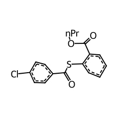 CCCOC(=O)c1ccccc1SC(=O)c1ccc(Cl)cc1